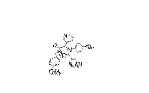 COc1ccc(CNC(=O)C(c2cccnc2)N(C(=O)c2c[nH]cn2)c2ccc(C(C)(C)C)cc2)cc1